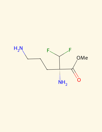 COC(=O)[C@@](N)(CCCN)C(F)F